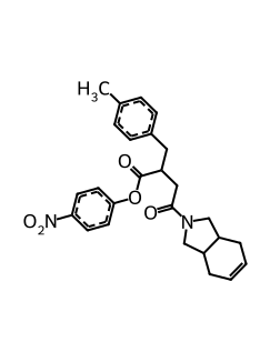 Cc1ccc(CC(CC(=O)N2CC3CC=CCC3C2)C(=O)Oc2ccc([N+](=O)[O-])cc2)cc1